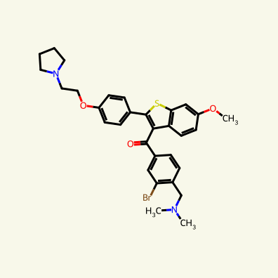 COc1ccc2c(C(=O)c3ccc(CN(C)C)c(Br)c3)c(-c3ccc(OCCN4CCCC4)cc3)sc2c1